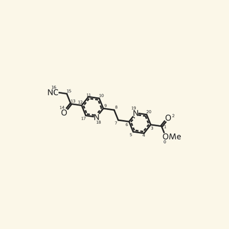 COC(=O)c1ccc(CCc2ccc(C(=O)CC#N)cn2)nc1